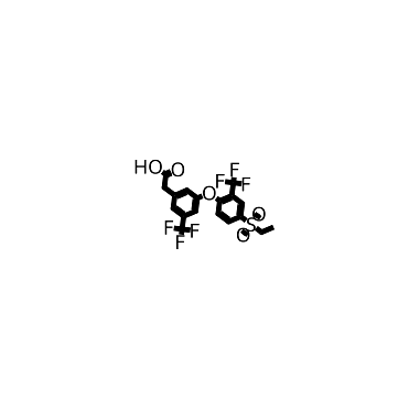 CCS(=O)(=O)c1ccc(Oc2cc(CC(=O)O)cc(C(F)(F)F)c2)c(C(F)(F)F)c1